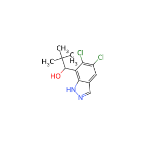 CC(C)(C)C(O)c1c(Cl)c(Cl)cc2cn[nH]c12